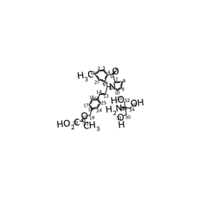 Cc1ccc(C(=O)c2cccn2C/C=C/c2ccc(CO[C@@H](C)C(=O)O)cc2)cc1.NC(CO)(CO)CO